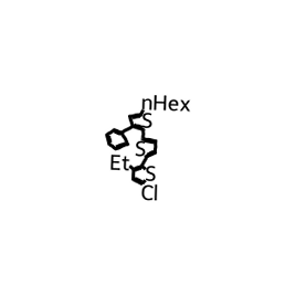 CCCCCCc1cc(-c2ccccc2)c(-c2ccc(-c3sc(Cl)cc3CC)s2)s1